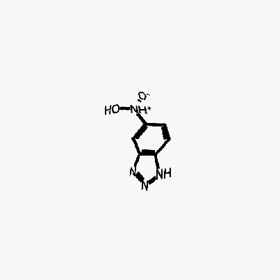 [O-][NH+](O)c1ccc2[nH]nnc2c1